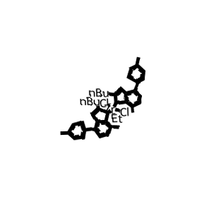 CCCCC1=Cc2c(-c3ccc(C)cc3)ccc(C)c2[CH]1[Zr]([Cl])([Cl])([CH2]C)[CH]1C(CCCC)=Cc2c(-c3ccc(C)cc3)ccc(C)c21